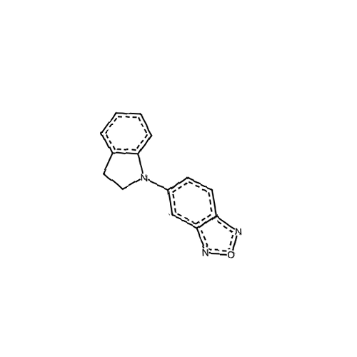 [c]1c(N2CCc3ccccc32)ccc2nonc12